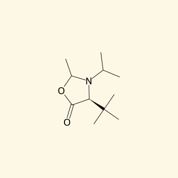 CC(C)N1C(C)OC(=O)[C@@H]1C(C)(C)C